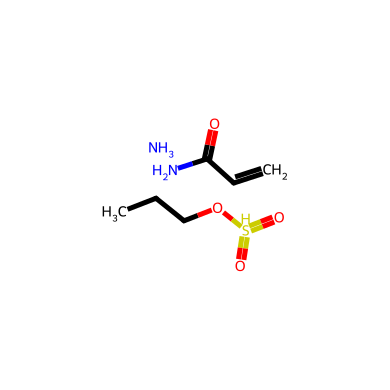 C=CC(N)=O.CCCO[SH](=O)=O.N